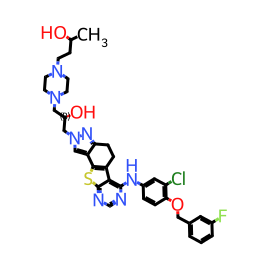 CC(O)CCN1CCN(C[C@@H](O)Cn2cc3c(n2)CCc2c-3sc3ncnc(Nc4ccc(OCc5cccc(F)c5)c(Cl)c4)c23)CC1